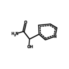 NC(=O)C(O)c1cccnc1